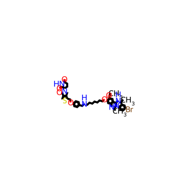 COc1cc2c(NC(C)c3cccc(Br)c3)nc(C)nc2cc1OCCCCCCCNCc1ccc(OCc2scc3c2CN(C2CCC(=O)NC2=O)C3=O)cc1